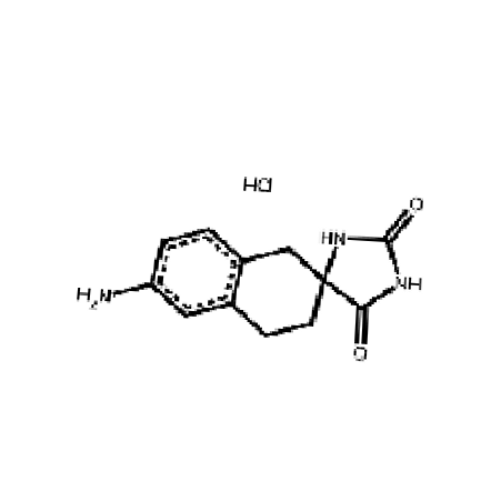 Cl.Nc1ccc2c(c1)CCC1(C2)NC(=O)NC1=O